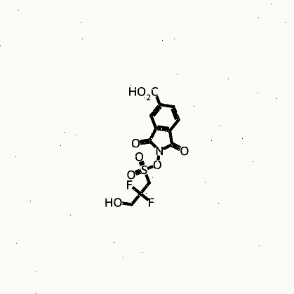 O=C(O)c1ccc2c(c1)C(=O)N(OS(=O)(=O)CC(F)(F)CO)C2=O